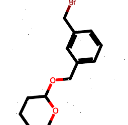 BrCc1cccc(COC2CCCCO2)c1